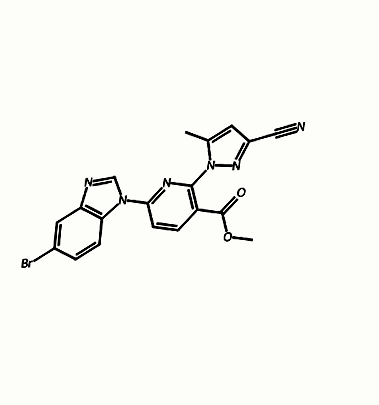 COC(=O)c1ccc(-n2cnc3cc(Br)ccc32)nc1-n1nc(C#N)cc1C